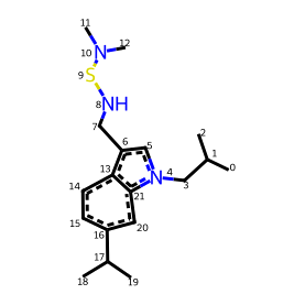 CC(C)Cn1cc(CNSN(C)C)c2ccc(C(C)C)cc21